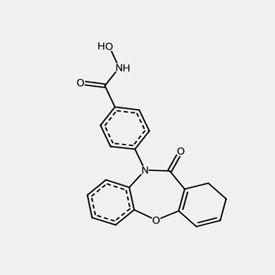 O=C(NO)c1ccc(N2C(=O)C3=C(C=CCC3)Oc3ccccc32)cc1